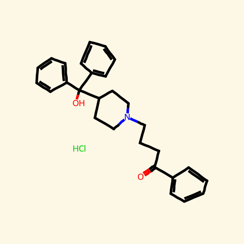 Cl.O=C(CCCN1CCC(C(O)(c2ccccc2)c2ccccc2)CC1)c1ccccc1